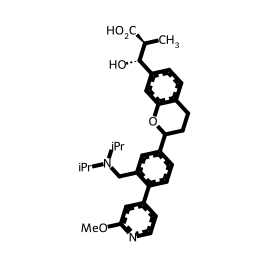 COc1cc(-c2ccc(C3CCc4ccc([C@H](O)[C@H](C)C(=O)O)cc4O3)cc2CN(C(C)C)C(C)C)ccn1